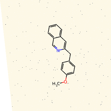 COc1ccc(Cc2cc3ccccc3cn2)cc1